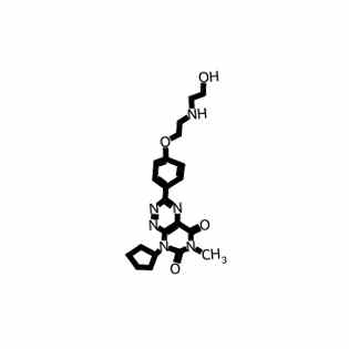 Cn1c(=O)c2nc(-c3ccc(OCCNCCO)cc3)nnc2n(C2CCCC2)c1=O